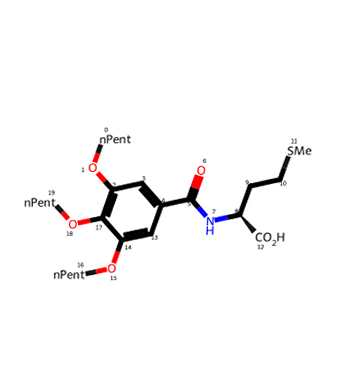 CCCCCOc1cc(C(=O)N[C@@H](CCSC)C(=O)O)cc(OCCCCC)c1OCCCCC